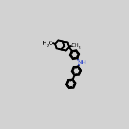 CC1CC2CC(C1)CC(C)(c1ccc(Nc3ccc(-c4ccccc4)cc3)cc1)C2